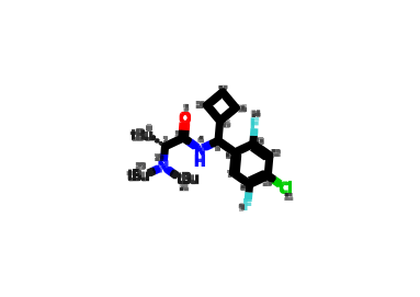 CC(C)(C)[C@H](C(=O)NC(c1cc(F)c(Cl)cc1F)C1CCC1)N(C(C)(C)C)C(C)(C)C